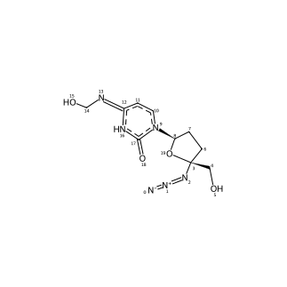 [N-]=[N+]=N[C@@]1(CO)CC[C@H](n2cc/c(=N/CO)[nH]c2=O)O1